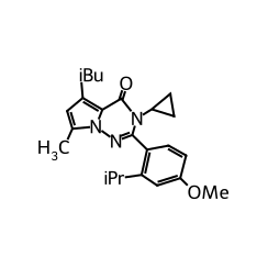 CCC(C)c1cc(C)n2nc(-c3ccc(OC)cc3C(C)C)n(C3CC3)c(=O)c12